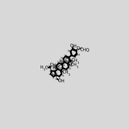 C=C(C)[C@@H]1CC[C@]2(CO)CC[C@]3(C)[C@H](CC[C@@H]4[C@@]5(C)CC=C(c6ccc(OC=O)c(O)c6)C(C)(C)[C@@H]5CC[C@]43C)[C@@H]12